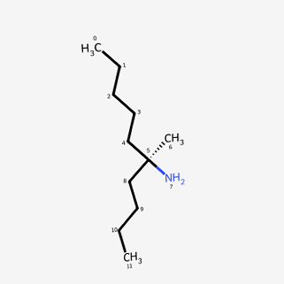 CCCCC[C@@](C)(N)CCCC